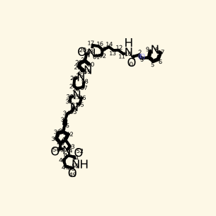 O=C(/C=C/c1cccnc1)NCCCCC1CCN(C(=O)c2ccc(N3CCC(N4CCN(CCC#Cc5ccc6c(c5)CN(C5CCC(=O)NC5=O)C6=O)CC4)CC3)nc2)CC1